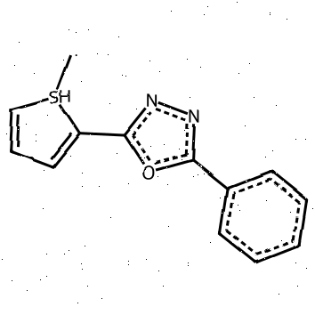 [CH2][SH]1C=CC=C1c1nnc(-c2ccccc2)o1